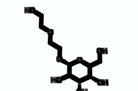 OCCOCCO[C@H]1OC(CO)[C@@H](O)[C@H](O)C1O